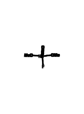 CO[SH](=O)(F)OC